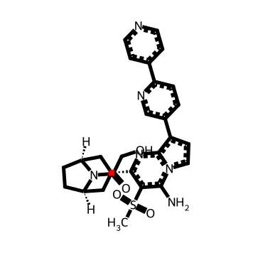 CS(=O)(=O)c1c([C@@H]2C[C@H]3CC[C@@H](C2)N3C(=O)CO)nc2c(-c3ccc(-c4ccncc4)nc3)ccn2c1N